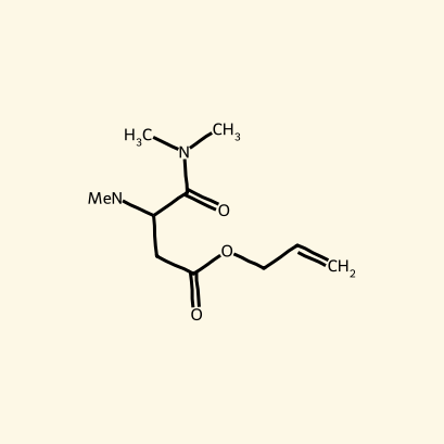 C=CCOC(=O)CC(NC)C(=O)N(C)C